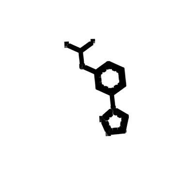 FC(F)Oc1cccc(-n2c[c]nn2)c1